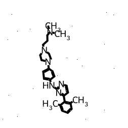 Cc1cccc(C)c1-c1ccnc(Nc2ccc(N3CCN(CCCN(C)C)CC3)cc2)n1